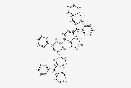 c1ccc(-c2nc(-c3ccc4c5ccccc5n(-c5ccccc5)c4c3)nc(-c3ccc(-n4c5ccccc5c5cc6ccccc6cc54)c4ccccc34)n2)cc1